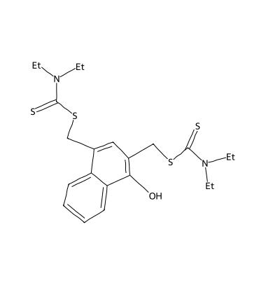 CCN(CC)C(=S)SCc1cc(CSC(=S)N(CC)CC)c2ccccc2c1O